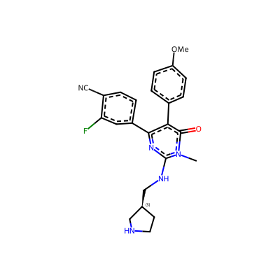 COc1ccc(-c2c(-c3ccc(C#N)c(F)c3)nc(NC[C@H]3CCNC3)n(C)c2=O)cc1